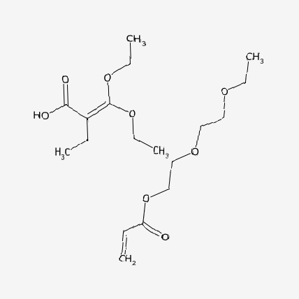 C=CC(=O)OCCOCCOCC.CCOC(OCC)=C(CC)C(=O)O